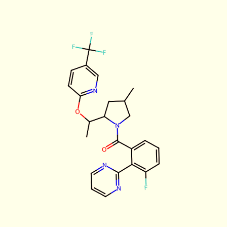 CC1CC(C(C)Oc2ccc(C(F)(F)F)cn2)N(C(=O)c2cccc(F)c2-c2ncccn2)C1